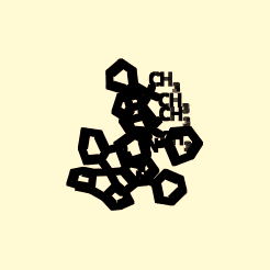 CC1(C)c2ccccc2-c2ccc(N(c3ccccc3)c3cccc4c3Sc3ccccc3C43c4ccccc4-c4cccc(N(c5ccccc5)c5ccc6c(c5)C(C)(C)c5ccccc5-6)c43)cc21